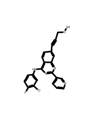 Fc1ccc(Nc2nc(-c3cccnc3)nc3cc(C#CCOS)ccc23)cc1Cl